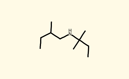 CCC(C)CNC(C)(C)CC